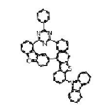 c1ccc(-c2nc(-c3ccccc3)nc(-c3cccc4oc5ccc(-c6cccc7sc8c(-n9c%10ccccc%10c%10ccccc%109)cccc8c67)cc5c34)n2)cc1